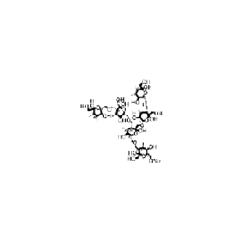 COC[C@H]1OC(O)(CO)[C@@H](COC[C@H]2OC(O)(CO[C@H]3OC(O)(CO)[C@@H](COC[C@H]4OC(O)(CO)[C@@H](C)[C@@H](C)C4O)[C@@H](C)C3O)[C@@H](COC[C@H]3OC(O)(CO)[C@@H](COC[C@H]4OC(O)(CO)[C@@H](C)[C@@H](C)C4O)[C@@H](C)C3O)[C@@H](C)C2O)[C@@H](C)C1O